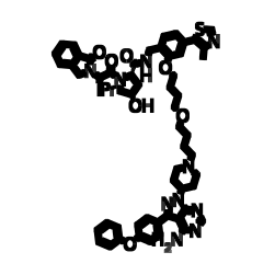 Cc1ncsc1-c1ccc(CNC(=O)[C@@H]2C[C@@H](O)CN2C(=O)C(C(C)C)N2Cc3ccccc3C2=O)c(OCCCCOCCCCN2CCC(n3nc(-c4ccc(Oc5ccccc5)cc4)c4c(N)ncnc43)CC2)c1